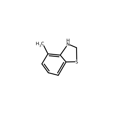 Cc1cccc2c1NCS2